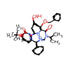 CC(C)N1CN(C(c2ccccc2)c2ccccc2)N2C(NC(=O)OC(C)(C)C)=CC(O)C(OCc3ccccc3)=C2C1=O